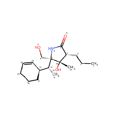 CCC[C@H]1C(=O)N[C@](CO)([C@H](C)[C@@H]2C=CCCC2)[C@@]1(C)O